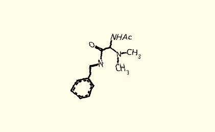 CC(=O)NC(C(=O)[N]Cc1ccccc1)N(C)C